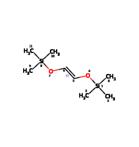 C[Si](C)(C)O/C=C/O[Si](C)(C)C